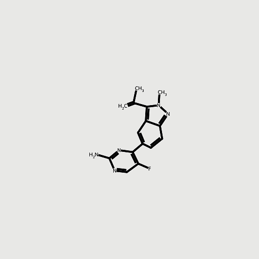 C=C(C)c1c2cc(-c3nc(N)ncc3F)ccc2nn1C